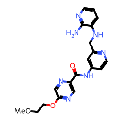 COCCOc1cnc(C(=O)Nc2ccnc(CNc3cccnc3N)c2)cn1